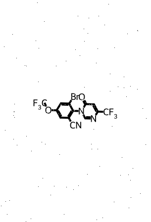 N#Cc1cc(OC(F)(F)F)cc(Br)c1-n1cnc(C(F)(F)F)cc1=O